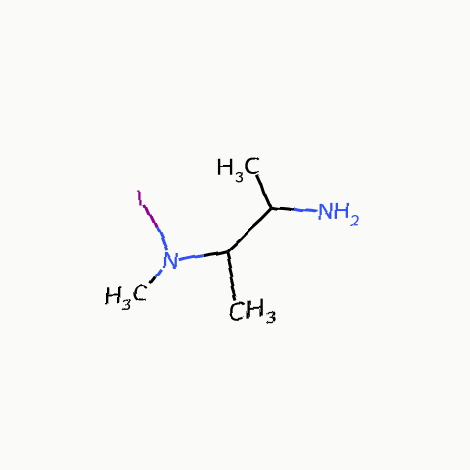 CC(N)C(C)N(C)I